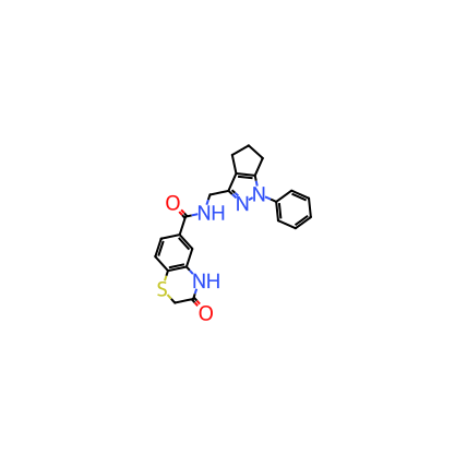 O=C1CSc2ccc(C(=O)NCc3nn(-c4ccccc4)c4c3CCC4)cc2N1